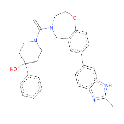 C=C(N1CCC(O)(c2ccccc2)CC1)N1CCOc2ccc(-c3ccc4nc(C)[nH]c4c3)cc2C1